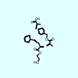 C=C(C)C(=O)O.C=C(C)C(=O)OCc1ccccc1.C=C(CC=Cc1ccccc1)C(=O)OCCO